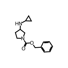 O=C(OCc1ccccc1)N1CCC(NC2CC2)C1